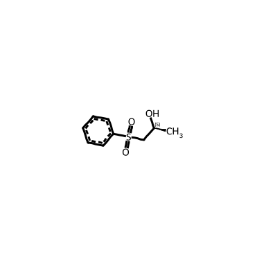 C[C@H](O)CS(=O)(=O)c1ccccc1